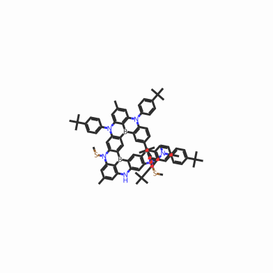 CSN1c2cc3c(cc2B2c4cc5c(cc4Nc4cc(C)cc1c42)N(SC)c1cc(C)cc2c1B5c1cc(C(C)(C)C)ccc1N2c1ccc(C(C)(C)C)cc1)B1c2cc(C(C)(C)C)ccc2N(c2ccc(C(C)(C)C)cc2)c2cc(C)cc(c21)N3c1ccc(C(C)(C)C)cc1